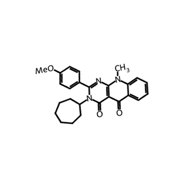 COc1ccc(-c2nc3c(c(=O)c4ccccc4n3C)c(=O)n2C2CCCCCC2)cc1